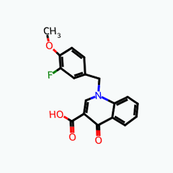 COc1ccc(Cn2cc(C(=O)O)c(=O)c3ccccc32)cc1F